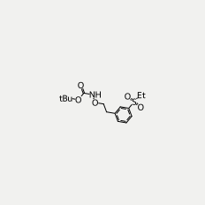 CCS(=O)(=O)c1cccc(CCONC(=O)OC(C)(C)C)c1